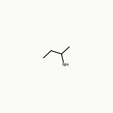 CCC(C)[NH]